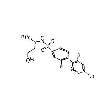 CCC[C@H](CCO)NS(=O)(=O)c1ccc(-c2ncc(Cl)cc2Cl)c(F)c1